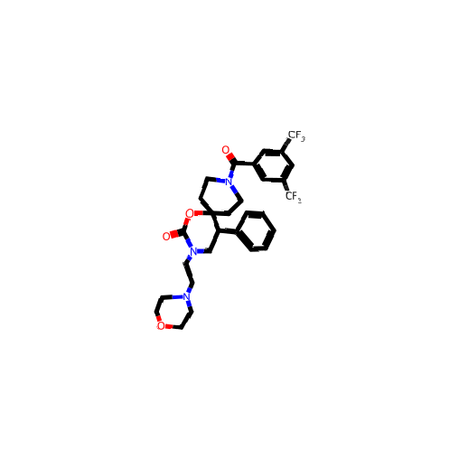 O=C1OC2(CCN(C(=O)c3cc(C(F)(F)F)cc(C(F)(F)F)c3)CC2)C(c2ccccc2)CN1CCN1CCOCC1